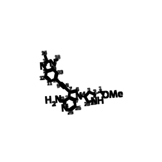 COC[C@H]1C[C@H](n2cc(C#Cc3ccc4nc(C)n(C)c4c3)c3c(N)nccc32)CN1